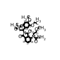 CCOc1cc(C(CS(C)(=O)=O)N2C(=O)c3cccc(N(CCOC)C(N)=O)c3C2=O)ccc1OC